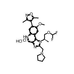 COc1cc2c(cc1-c1c(C)noc1C)ncc1nc(CN3CCCC3)n([C@H](C)COC(F)F)c12.Cl.Cl